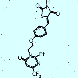 CCc1nc(C(F)(F)F)cc(=O)n1CCOc1ccc(/C=C2\SC(=O)NC2=O)cc1